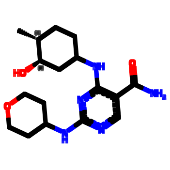 C[C@@H]1CCC(Nc2nc(NC3CCOCC3)ncc2C(N)=O)C[C@H]1O